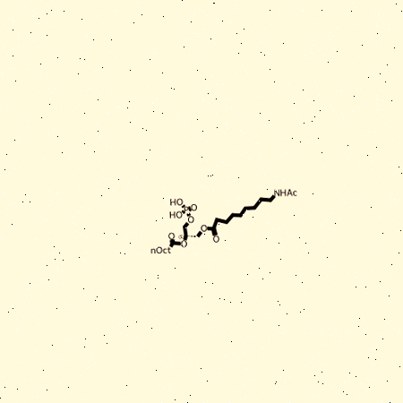 CCCCCCCCC(=O)O[C@@H](COC(=O)CCCCCCCCNC(C)=O)COP(=O)(O)O